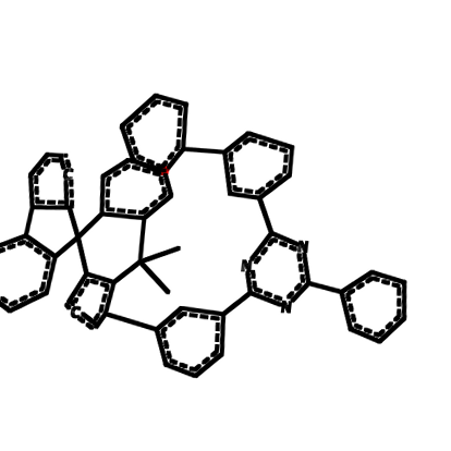 CC1(C)c2ccccc2C2(c3ccccc3-c3ccccc32)c2cccc(-c3cccc(-c4nc(-c5ccccc5)nc(-c5cccc(-c6ccccc6)c5)n4)c3)c21